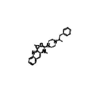 COc1nc2ccccc2cc1N(C)C(=O)N1CCN(C(C)Cc2ccccc2)CC1